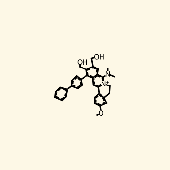 COc1ccc2c(c1)CC[n+]1c-2cc2c(-c3ccc(-c4ccccc4)cc3)c(CO)c(CO)cc2c1N(C)C